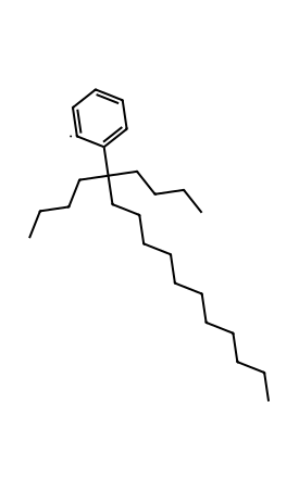 CCCCCCCCCCCC(CCCC)(CCCC)c1[c]cccc1